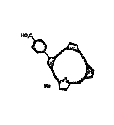 O=C(O)c1ccc(-c2cc3cc4nc(cc5ccc(cc6nc(cc2[nH]3)C=C6)[nH]5)C=C4)cc1.[Mn]